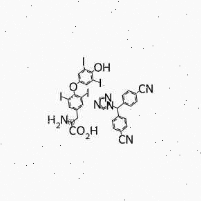 N#Cc1ccc(C(c2ccc(C#N)cc2)n2cncn2)cc1.N[C@@H](Cc1cc(I)c(Oc2cc(I)c(O)c(I)c2)c(I)c1)C(=O)O